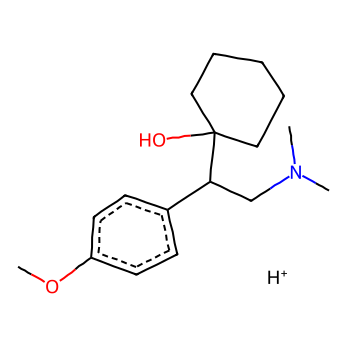 COc1ccc(C(CN(C)C)C2(O)CCCCC2)cc1.[H+]